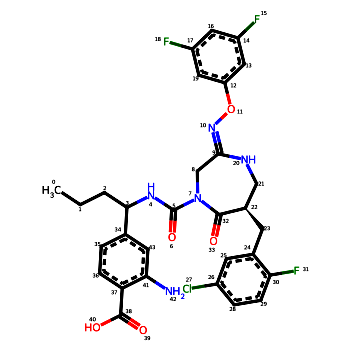 CCCC(NC(=O)N1C/C(=N/Oc2cc(F)cc(F)c2)NC[C@@H](Cc2cc(Cl)ccc2F)C1=O)c1ccc(C(=O)O)c(N)c1